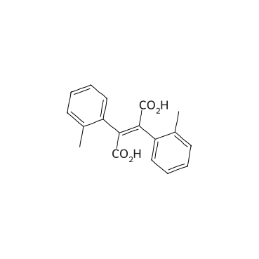 Cc1ccccc1/C(C(=O)O)=C(\C(=O)O)c1ccccc1C